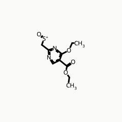 CCOC(=O)c1cnc(C[S+]=O)nc1OCC